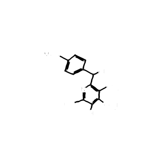 CCCc1nc(C(C)c2ccc(OC)cc2)c(C(=O)O)c(C(=O)O)c1O